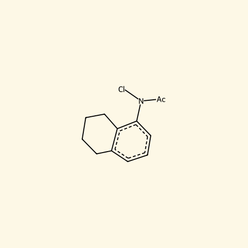 CC(=O)N(Cl)c1cccc2c1CCCC2